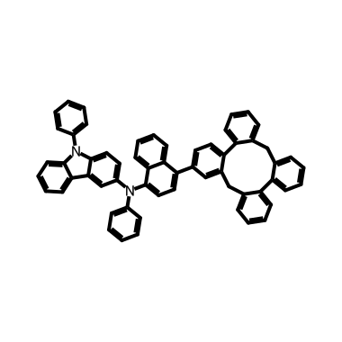 c1ccc(N(c2ccc3c(c2)c2ccccc2n3-c2ccccc2)c2ccc(-c3ccc4c(c3)Cc3ccccc3-c3ccccc3Cc3ccccc3-4)c3ccccc23)cc1